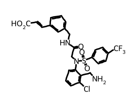 NCc1c(Cl)cccc1N(CC(=O)NCc1cccc(C=CC(=O)O)c1)S(=O)(=O)c1ccc(C(F)(F)F)cc1